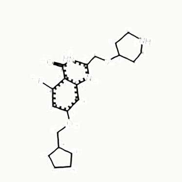 O=c1[nH]c(CSC2CCNCC2)nc2cc(OCC3CCCC3)cc(F)c12